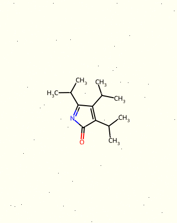 CC(C)C1=NC(=O)C(C(C)C)=C1C(C)C